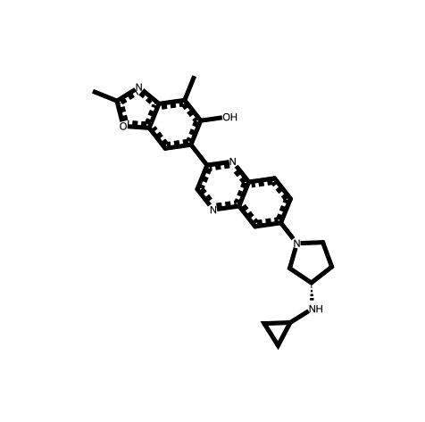 Cc1nc2c(C)c(O)c(-c3cnc4cc(N5CC[C@H](NC6CC6)C5)ccc4n3)cc2o1